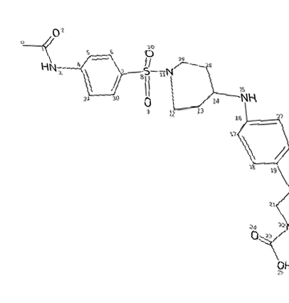 CC(=O)Nc1ccc(S(=O)(=O)N2CCC(Nc3ccc(CCNC(=O)O)cc3)CC2)cc1